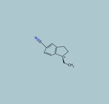 CC[C@@H]1CCc2cc(C#N)ccc21